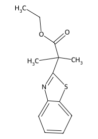 CCOC(=O)C(C)(C)c1nc2ccccc2s1